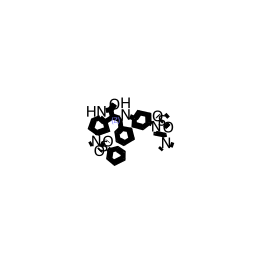 CN(C)CCN(c1ccc(N/C(=C2\C(=O)Nc3ccc(N(C)S(=O)(=O)c4ccccc4)cc32)c2ccccc2)cc1)S(C)(=O)=O